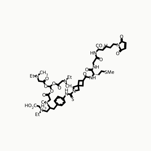 CCN(C)CC(=O)OC(OC(=O)CN(C)CC)OC(=O)CN(C)C(Cc1ccc(NC(=S)N2CC3(CC(C(=O)N[C@@H](CCSC)C(=O)NCC(=O)N[C@@H](CCCCN4C(=O)C=CC4=O)C(=O)O)C3)C2)cc1)CN(CC)CC(=O)O